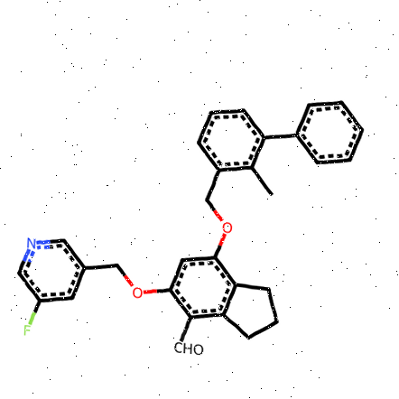 Cc1c(COc2cc(OCc3cncc(F)c3)c(C=O)c3c2CCC3)cccc1-c1ccccc1